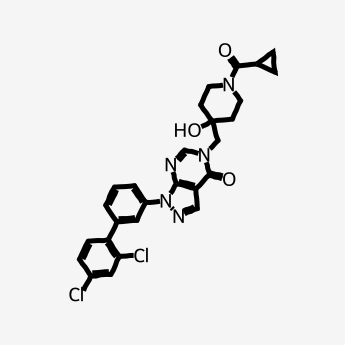 O=C(C1CC1)N1CCC(O)(Cn2cnc3c(cnn3-c3cccc(-c4ccc(Cl)cc4Cl)c3)c2=O)CC1